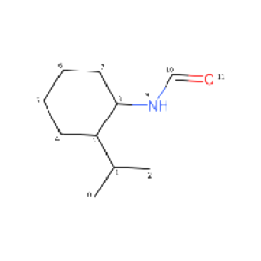 CC(C)C1CCCCC1NC=O